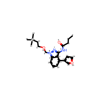 CCCC(=O)Nc1nn(COCC[Si](C)(C)C)c2cccc(-c3ccoc3)c12